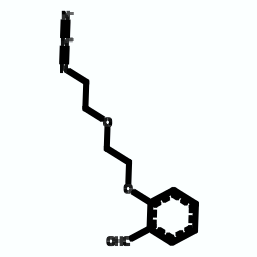 [N-]=[N+]=NCCOCCOc1ccccc1C=O